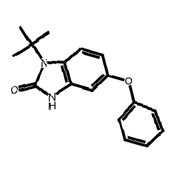 CC(C)(C)n1c(=O)[nH]c2cc(Oc3ccccc3)ccc21